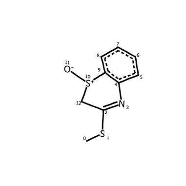 CSC1=Nc2ccccc2[S+]([O-])C1